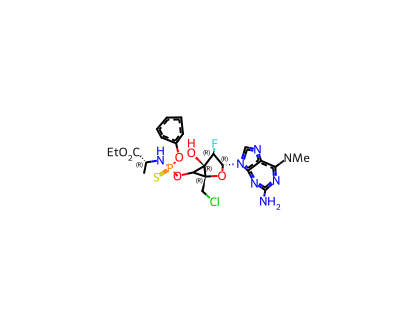 CCOC(=O)[C@@H](C)NP(=S)(Oc1ccccc1)OC1[C@@]2(CCl)O[C@@H](n3cnc4c(NC)nc(N)nc43)[C@H](F)[C@@]12O